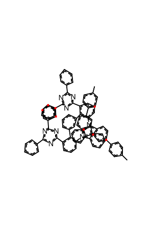 Cc1ccc(-c2ccc3c(c2)c2ccccc2n3-c2cccc(-c3nc(-c4ccccc4)nc(-c4ccccc4)n3)c2-c2cccc(-c3c(-c4nc(-c5ccccc5)nc(-c5ccccc5)n4)cccc3-n3c4ccccc4c4cc(-c5ccc(C)cc5)ccc43)c2)cc1